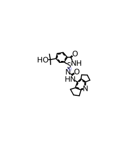 CC(C)(O)c1ccc2c(c1)/S(=N/C(=O)Nc1c3c(nc4c1CCC4)CCC3)NC2=O